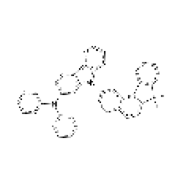 CC1(C)c2ccccc2-c2c1ccc1ccc(-n3c4ccccc4c4ccc(N(c5ccccc5)c5ccccc5)cc43)cc21